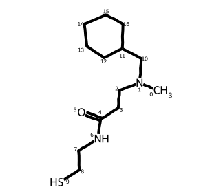 CN(CCC(=O)NCCS)CC1CCCCC1